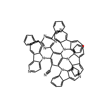 N#Cc1c(-n2c3ccccc3c3cnccc32)c(-c2nc(-c3ccccc3)nc(-c3ccccc3)n2)c(-n2c3ccccc3c3cnccc32)c(-n2c3ccccc3c3cnccc32)c1-n1c2ccccc2c2cnccc21